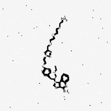 CCOC[C@H](Cc1ccc(OCCn2cc(COCCOCCOCCN)nn2)cc1)n1cnc2c(N)nc3ccccc3c21